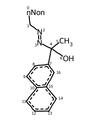 CCCCCCCCCCN=NC(C)(O)c1ccc2ccccc2c1